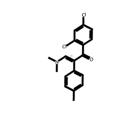 Cc1ccc(/C(=C\N(C)C)C(=O)c2ccc(Cl)cc2Cl)cc1